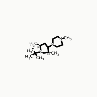 C[C@@H]1CN(C(C)(C)C)[C@@H](C)CC1N1CCN(C)CC1